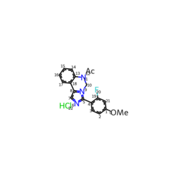 COc1ccc(-c2ncc3n2CN(C(C)=O)c2ccccc2-3)c(F)c1.Cl